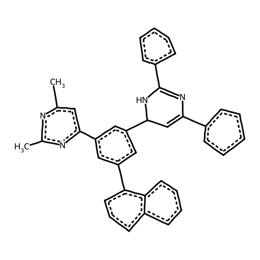 Cc1cc(-c2cc(-c3cccc4ccccc34)cc(C3C=C(c4ccccc4)N=C(c4ccccc4)N3)c2)nc(C)n1